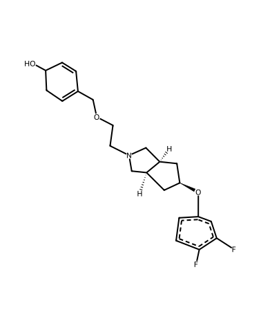 OC1C=CC(COCCN2C[C@H]3C[C@@H](Oc4ccc(F)c(F)c4)C[C@H]3C2)=CC1